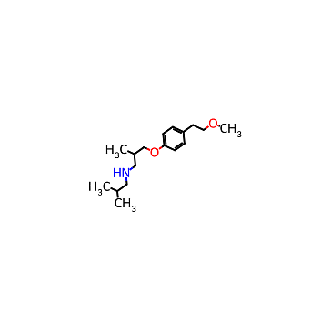 COCCc1ccc(OCC(C)CNCC(C)C)cc1